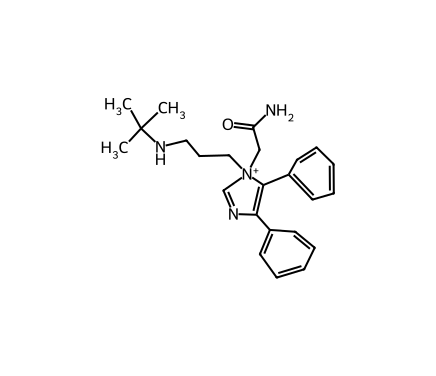 CC(C)(C)NCCC[N+]1(CC(N)=O)C=NC(c2ccccc2)=C1c1ccccc1